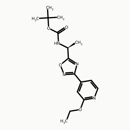 CCOc1cc(-c2noc([C@H](C)NC(=O)OC(C)(C)C)n2)ccn1